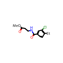 CCc1ccc(C(=O)NCCC(=O)OC)cc1Cl